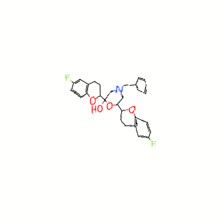 OC1(C2CCc3cc(F)ccc3O2)CN(Cc2ccccc2)CC(C2CCc3cc(F)ccc3O2)O1